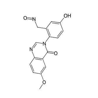 COc1ccc2ncn(-c3ccc(O)cc3CN=O)c(=O)c2c1